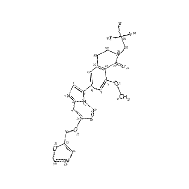 COc1cc(-c2cnc3cc(OCc4cnco4)ccn23)cc2c1C(=O)N(CC(F)(F)F)CC2